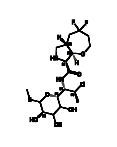 CSC1O[C@H]([C@H](NC(=O)[C@H]2NC[C@@H]3CC(F)(F)CCO[C@H]32)[C@H](C)Cl)C(O)C(O)[C@H]1O